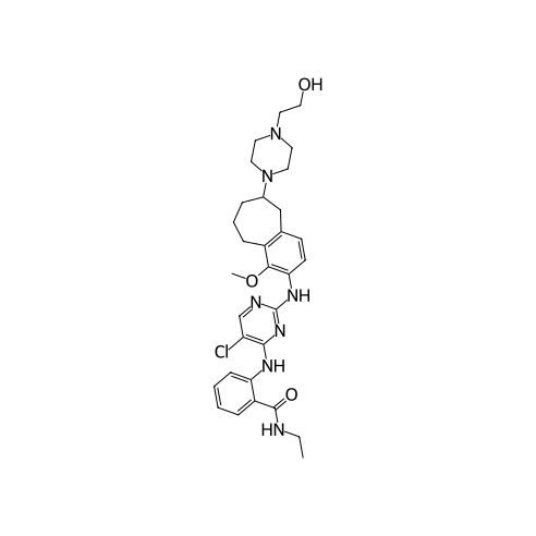 CCNC(=O)c1ccccc1Nc1nc(Nc2ccc3c(c2OC)CCCC(N2CCN(CCO)CC2)C3)ncc1Cl